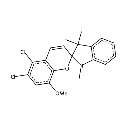 COc1cc(Cl)c(Cl)c2c1OC1(C=C2)N(C)c2ccccc2C1(C)C